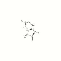 Cc1ccc2c(C)c(C)n(C)c2c1